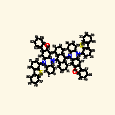 c1ccc2c(c1)N(c1c3ccccc3c(N3c4ccccc4N(c4cccc5c4sc4ccccc45)c4cc5c(cc43)oc3ccccc35)c3ccccc13)c1cc3oc4ccccc4c3cc1N2c1cccc2c1sc1ccccc12